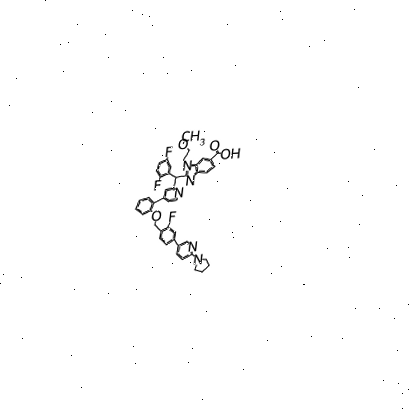 COCCn1c(C(c2cc(-c3ccccc3OCc3ccc(-c4ccc(N5CCCC5)nc4)cc3F)ccn2)c2cc(F)ccc2F)nc2ccc(C(=O)O)cc21